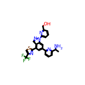 CC(N)c1cccc(-c2cc(-c3nc(C(F)(F)F)cs3)c3cnn(-c4cccc(CO)n4)c3c2)n1